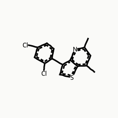 Cc1cc(C)c2scc(-c3ccc(Cl)cc3Cl)c2n1